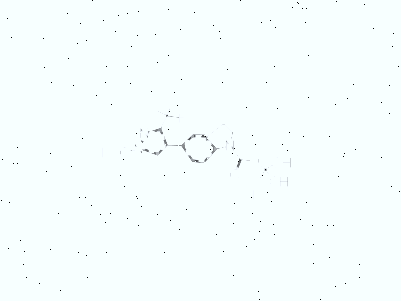 Cn1cc(-c2ccc3c(c2)CCN3C(=O)OC(C)(C)C)c(C(F)(F)F)n1